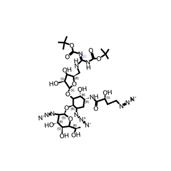 C[C@@H](O)C1O[C@H](O[C@@H]2C(N=[N+]=[N-])C[C@@H](NC(=O)[C@@H](O)CCN=[N+]=[N-])[C@@H](O)C2O[C@@H]2O[C@H](CN/C(=N\C(=O)OC(C)(C)C)NC(=O)OC(C)(C)C)C(O)[C@@H]2O)C(N=[N+]=[N-])[C@@H](O)[C@@H]1O